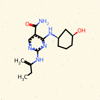 C=C(CC)Nc1ncc(C(N)=O)c(N[C@@H]2CCC[C@H](O)C2)n1